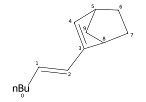 CCCCC=CC1=CC2CCC1C2